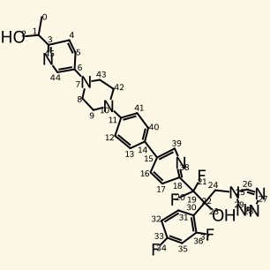 CC(O)c1ccc(N2CCN(c3ccc(-c4ccc(C(F)(F)C(O)(Cn5cnnn5)c5ccc(F)cc5F)nc4)cc3)CC2)cn1